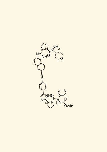 COC(=O)N[C@@H](C(=O)N1CCC[C@H]1c1ncc(-c2ccc(C#Cc3ccc4c(ccc5nc([C@@H]6CCCN6C(=O)[C@@H](N)C6CCOCC6)[nH]c54)c3)cc2)[nH]1)c1ccccc1